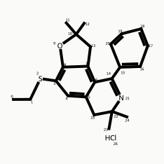 CCSc1cc2c(c3c1OC(C)(C)C3)C(c1ccccc1)=NC(C)(C)C2.Cl